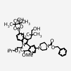 COC(C)c1ncc(N2CCN(C(=O)OCc3ccccc3)CC2)cc1-c1c(CC(C)(C)CO)c2cc(B3OC(C)(C)C(C)(C)O3)ccc2n1CCOC(C)C